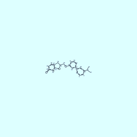 CC(C)c1cccc(-c2cccc(OCC3Cn4ccc(=O)nc4O3)c2)c1